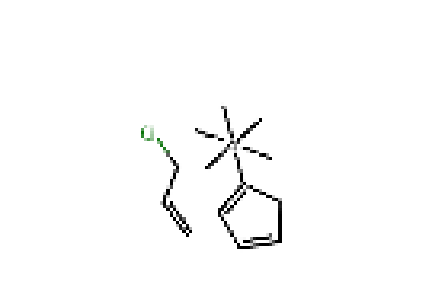 C=CCCl.[CH3][Zr]([CH3])([CH3])([CH3])([CH3])[C]1=CC=CC1